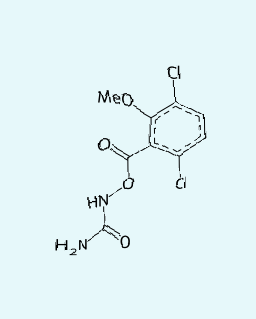 COc1c(Cl)ccc(Cl)c1C(=O)ONC(N)=O